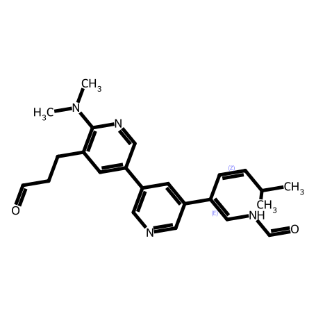 CC(C)/C=C\C(=C/NC=O)c1cncc(-c2cnc(N(C)C)c(CCC=O)c2)c1